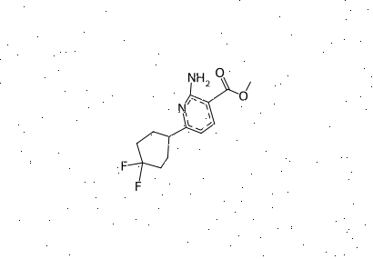 COC(=O)c1ccc(C2CCC(F)(F)CC2)nc1N